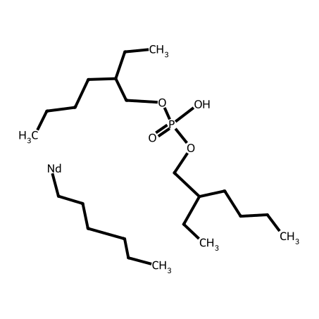 CCCCC(CC)COP(=O)(O)OCC(CC)CCCC.CCCCC[CH2][Nd]